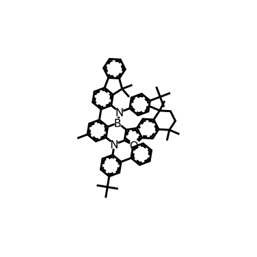 Cc1cc2c3c(c1)N(c1ccc(C(C)(C)C)cc1-c1ccccc1)c1oc4cc5c(cc4c1B3N(c1ccc(C(C)(C)C)cc1)c1c-2ccc2c1C(C)(C)c1ccccc1-2)C(C)(C)CCC5(C)C